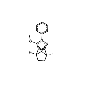 COc1c2c(nn1-c1ccccc1)[C@@]1(C)CC[C@@H]2C1(C)C